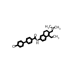 CCC1=C(CN(C)C)CCc2cc(NC(=O)c3ccc(-c4ccc(Cl)cc4)cc3)ccc21